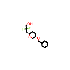 OCC(F)(F)C[C@H]1CC[C@H](OCc2ccccc2)CO1